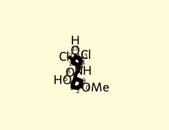 COc1ccc(O)c(C(=O)Nc2cc(Cl)c(O)c(Cl)c2)c1